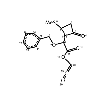 CSC1CC(=O)N1C(OCc1ccccc1)C(=O)OC=C=O